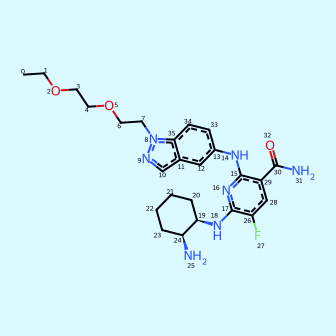 CCOCCOCCn1ncc2cc(Nc3nc(N[C@@H]4CCCC[C@@H]4N)c(F)cc3C(N)=O)ccc21